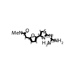 CNC(=O)Cc1ccc(-c2csc(N=C(N)N)n2)o1